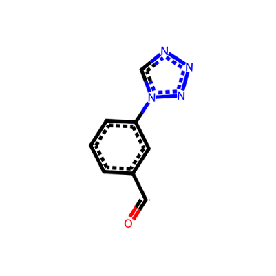 O=[C]c1cccc(-n2cnnn2)c1